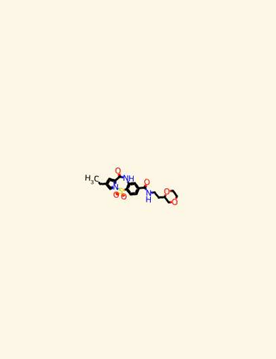 CCc1cc2n(c1)S(=O)(=O)c1ccc(C(=O)NCCC3COCCO3)cc1NC2=O